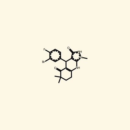 Cn1[nH]c(=O)c2c1NC1=C(C(=O)C(C)(C)CC1)C2c1ccc(F)c(Br)c1